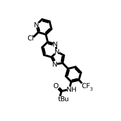 CC(C)(C)C(=O)Nc1cc(-c2cn3nc(-c4cccnc4Cl)ccc3n2)ccc1C(F)(F)F